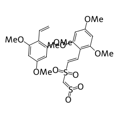 C=Cc1c(OC)cc(OC)cc1OC.COc1cc(OC)c(C=CS(=O)(=O)C=S(=O)=O)c(OC)c1